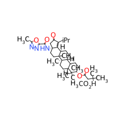 Cc1nnc(C(=O)N[C@@]23CC[C@]4(C)[C@H](CC[C@@H]5[C@@]6(C)CC[C@H](OC(=O)CC(C)(C)C(=O)O)C(C)(C)[C@@H]6CC[C@]54C)C2=C(C(C)C)C(=O)C3)o1